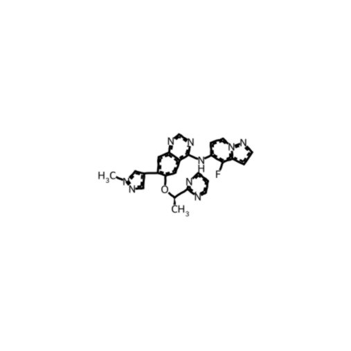 C[C@@H](Oc1cc2c(Nc3ccn4nccc4c3F)ncnc2cc1-c1cnn(C)c1)c1ncccn1